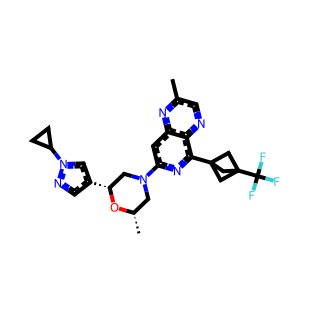 Cc1cnc2c(C34CC(C(F)(F)F)(C3)C4)nc(N3C[C@@H](c4cnn(C5CC5)c4)O[C@@H](C)C3)cc2n1